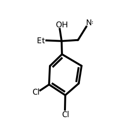 CCC(O)(C[N])c1ccc(Cl)c(Cl)c1